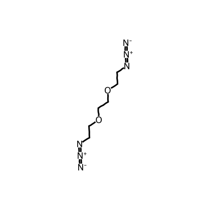 [N-]=[N+]=NCCOCCOCCN=[N+]=[N-]